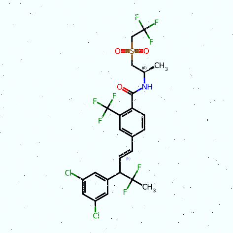 C[C@H](CS(=O)(=O)CC(F)(F)F)NC(=O)c1ccc(/C=C/C(c2cc(Cl)cc(Cl)c2)C(C)(F)F)cc1C(F)(F)F